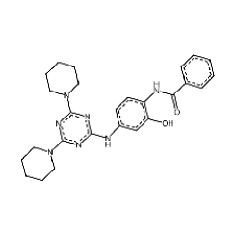 O=C(Nc1ccc(Nc2nc(N3CCCCC3)nc(N3CCCCC3)n2)cc1O)c1ccccc1